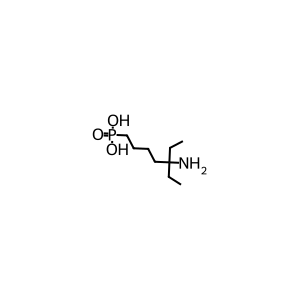 CCC(N)(CC)CCCCP(=O)(O)O